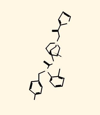 O=C(C[N+]12CCC(CC1)[C@@H](OC(=O)N(Cc1ccc(F)cc1)c1ccccc1F)C2)c1cccs1